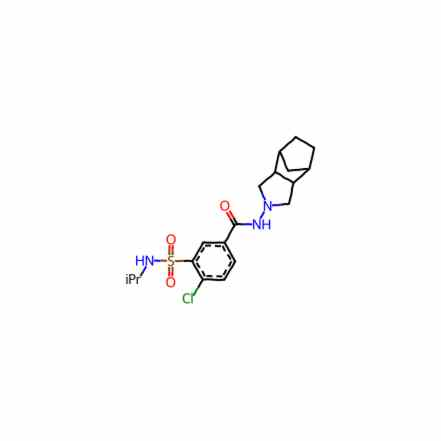 CC(C)NS(=O)(=O)c1cc(C(=O)NN2CC3C4CCC(C4)C3C2)ccc1Cl